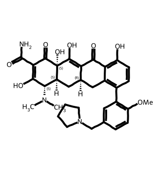 COc1ccc(CN2CCCC2)cc1-c1ccc(O)c2c1C[C@H]1C[C@H]3[C@H](N(C)C)C(O)=C(C(N)=O)C(=O)[C@@]3(O)C(O)=C1C2=O